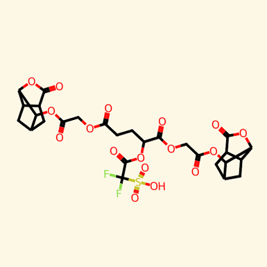 O=C(CCC(OC(=O)C(F)(F)S(=O)(=O)O)C(=O)OCC(=O)OC1C2CC3C(=O)OC1C3C2)OCC(=O)OC1C2CC3C(=O)OC1C3C2